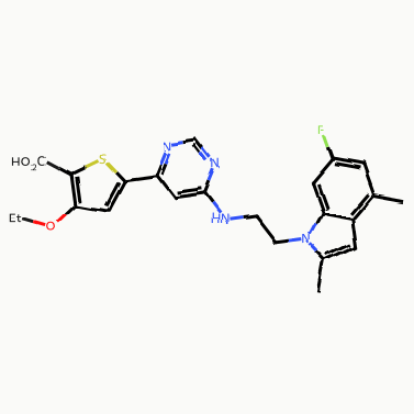 CCOc1cc(-c2cc(NCCn3c(C)cc4c(C)cc(F)cc43)ncn2)sc1C(=O)O